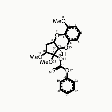 COc1cccc2c1OC1CC(OC)C(OC)(OC(=S)Oc3ccccc3)[C@@H]1O2